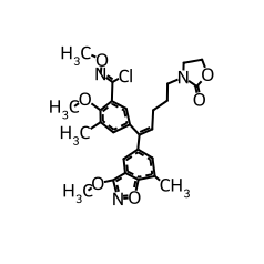 CO/N=C(\Cl)c1cc(/C(=C\CCCN2CCOC2=O)c2cc(C)c3onc(OC)c3c2)cc(C)c1OC